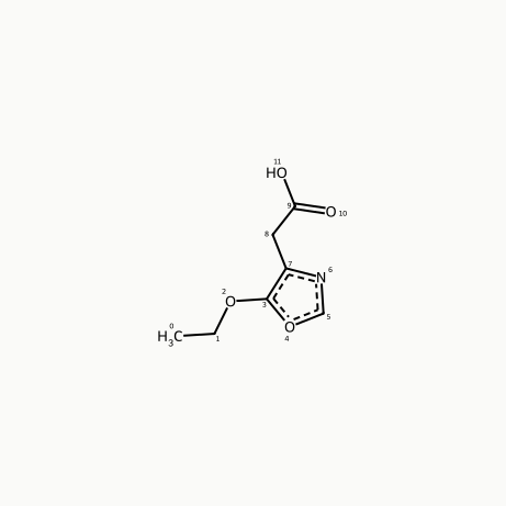 CCOc1ocnc1CC(=O)O